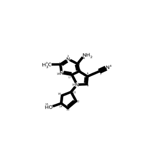 Cc1nc(N)c2c(C#N)cn(C3C=CC(O)C3)c2n1